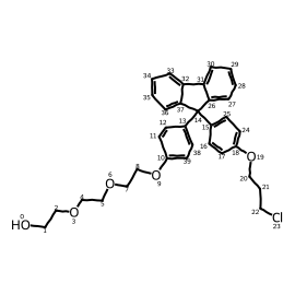 OCCOCCOCCOc1ccc(C2(c3ccc(OCCCCl)cc3)c3ccccc3-c3ccccc32)cc1